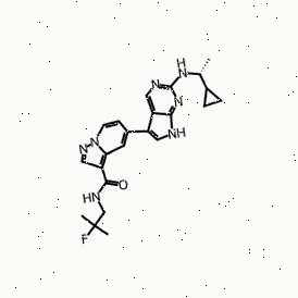 C[C@@H](Nc1ncc2c(-c3ccn4ncc(C(=O)NCC(C)(C)F)c4c3)c[nH]c2n1)C1CC1